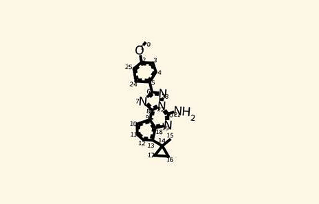 COc1ccc(-c2nc3c4cccc(C5(C)CC5)c4nc(N)n3n2)cc1